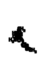 C=CC(=O)Nc1c(Cl)n(CC#Cc2cccc(OC(=O)CC)c2)c(=O)n(C)c1=O